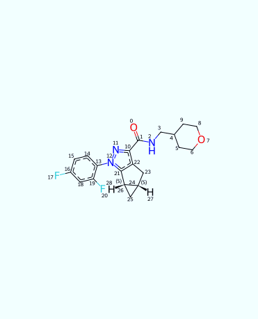 O=C(NCC1CCOCC1)c1nn(-c2ccc(F)cc2F)c2c1C[C@@H]1C[C@H]21